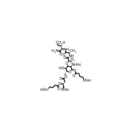 CCCCCCCCCCCCCC(=O)OC1O[C@H](COC(=O)C[C@@H](CCCCCCCCCCC)OC(=O)CCCCCCCCCCCCC)[C@@H](O)[C@@H](OC(C)C(=O)N[C@@H](C)C(=O)N[C@H](CCC(=O)O)C(N)=O)[C@H]1NC(C)=O